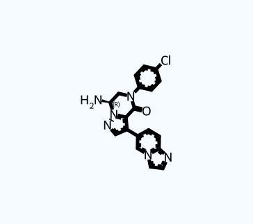 N[C@H]1CN(c2ccc(Cl)cc2)C(=O)c2c(-c3ccc4nccn4c3)cnn21